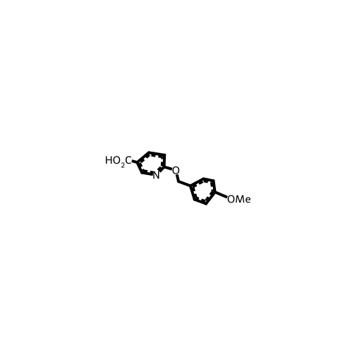 COc1ccc(COc2ccc(C(=O)O)cn2)cc1